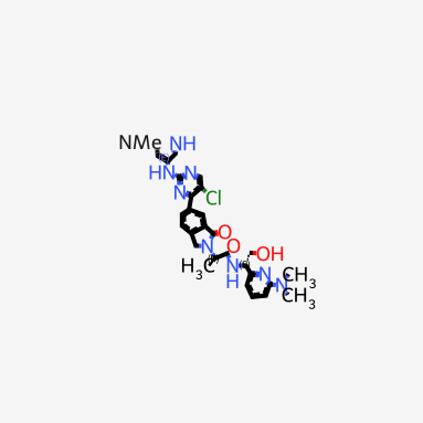 CN/C=C(\C=N)Nc1ncc(Cl)c(-c2ccc3c(c2)C(=O)N([C@H](C)C(=O)N[C@H](CO)c2cccc(N(C)C)n2)C3)n1